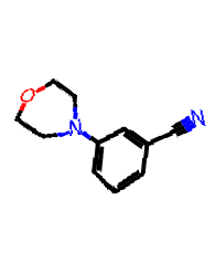 N#Cc1cccc(N2CCOCC2)c1